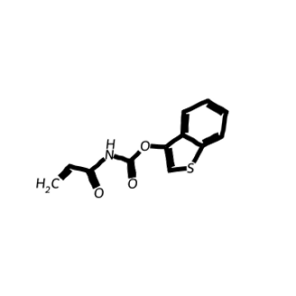 C=CC(=O)NC(=O)Oc1csc2ccccc12